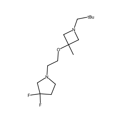 CC(C)(C)CN1CC(C)(OCCN2CCC(F)(F)C2)C1